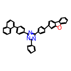 c1ccc(-c2nc(-c3ccc(-c4ccc5c(c4)oc4ccccc45)cc3)nc(-c3ccc(-c4cccc5ccccc45)cc3)n2)cc1